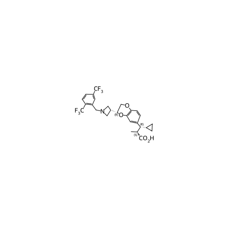 C[C@H](C(=O)O)[C@H](c1ccc2c(c1)O[C@H](C1CN(Cc3cc(C(F)(F)F)ccc3C(F)(F)F)C1)CO2)C1CC1